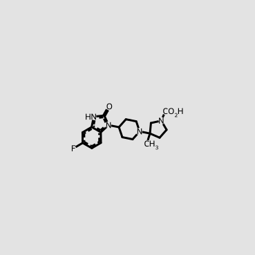 CC1(N2CCC(n3c(=O)[nH]c4cc(F)ccc43)CC2)CCN(C(=O)O)C1